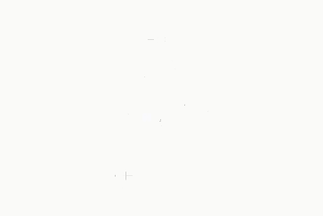 CC(O)/C=C/C1C(C)(C)CCC1(C)O